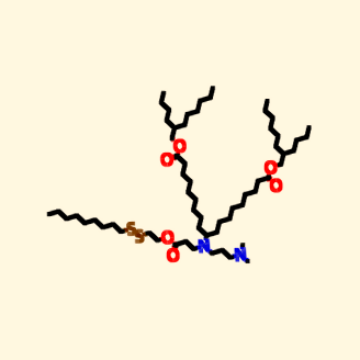 CCCCCCCCCSSCCOC(=O)CCN(CCCN(C)C)C(CCCCCCCCC(=O)OCC(CCCC)CCCCCC)CCCCCCCCC(=O)OCC(CCCC)CCCCCC